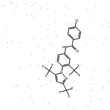 O=C(Nc1ccc(-n2nc(C(F)(F)F)cc2C(F)(F)F)c(C(F)(F)F)c1)c1ccc(Cl)cc1